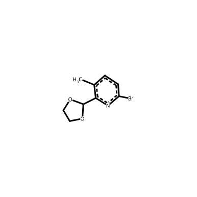 Cc1ccc(Br)nc1C1OCCO1